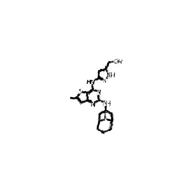 Cc1cc2nc(NC3CC4CCCC(C3)N4)nc(Nc3cc(CO)[nH]n3)c2s1